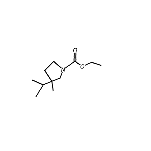 CCOC(=O)N1CCC(C)(C(C)C)C1